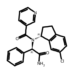 NC(=O)[C@@H](c1ccccc1)N(C(=O)c1cccnc1)[C@@H]1CCc2ccc(Cl)cc21